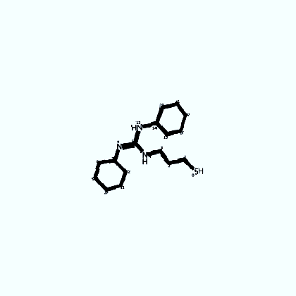 SCCCN/C(=N\C1CCCCC1)NC1CCCCC1